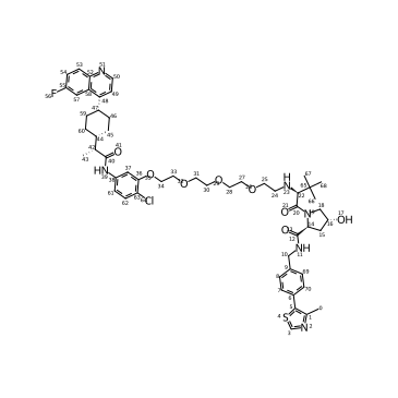 Cc1ncsc1-c1ccc(CNC(=O)[C@@H]2C[C@@H](O)CN2C(=O)[C@@H](NCCOCCOCCOCCOc2cc(NC(=O)[C@H](C)[C@H]3CC[C@@H](c4ccnc5ccc(F)cc54)CC3)ccc2Cl)C(C)(C)C)cc1